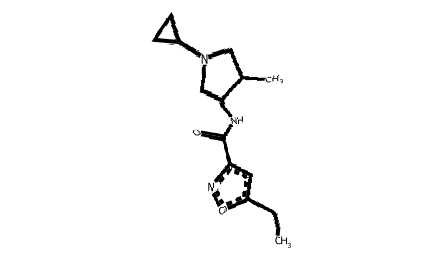 CCc1cc(C(=O)NC2CN(C3CC3)CC2C)no1